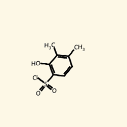 Cc1ccc(S(=O)(=O)Cl)c(O)c1C